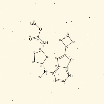 CN(c1ncnc2sc(C3COC3)cc12)[C@@H]1CC[C@H](NC(=O)OC(C)(C)C)C1